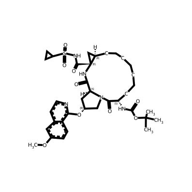 COc1ccc2c(O[C@@H]3C[C@H]4C(=O)N[C@]5(C(=O)NS(=O)(=O)C6CC6)C[C@H]5CCCCCCC[C@H](NC(=O)OC(C)(C)C)C(=O)N4C3)nccc2c1